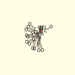 O=[C]=[Rh]([Cl])([Cl])([Cl])([Cl])([Cl])([Cl])(=[C]=O)(=[C]=O)(=[C]=O)(=[C]=O)(=[C]=O)(=[C]=O)(=[C]=O)(=[C]=O)(=[C]=O)(=[C]=O)=[C]=O